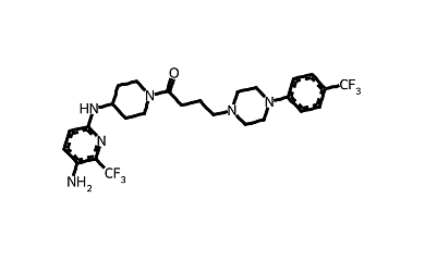 Nc1ccc(NC2CCN(C(=O)CCCN3CCN(c4ccc(C(F)(F)F)cc4)CC3)CC2)nc1C(F)(F)F